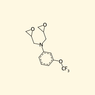 FC(F)(F)Oc1cccc(N(CC2CO2)CC2CO2)c1